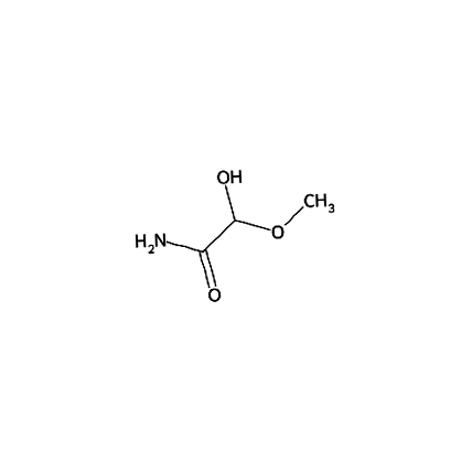 COC(O)C(N)=O